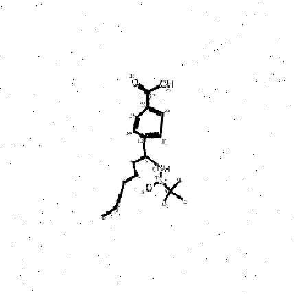 CCCCCC(N[S+]([O-])C(C)(C)C)c1ccc(C(=O)O)cc1